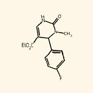 CCOC(=O)C1=CNC(=O)N(C)C1c1ccc(F)cc1